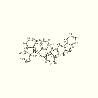 CC1C=CC2(C)C3=C1C(C)(n1c4ccccc4c4cc5sc6ccccc6c5cc41)C=CC3(C)c1cccc3c4ccccc4n2c13